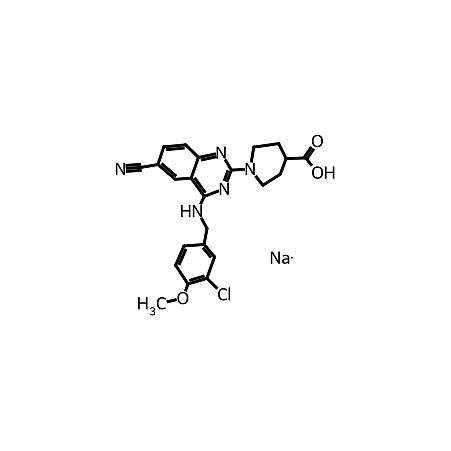 COc1ccc(CNc2nc(N3CCC(C(=O)O)CC3)nc3ccc(C#N)cc23)cc1Cl.[Na]